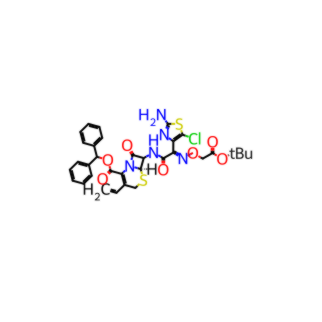 C=CC1=C(C(=O)OC(c2ccccc2)c2ccccc2)N2C(=O)C(NC(=O)/C(=N/OCC(=O)OC(C)(C)C)c3nc(N)sc3Cl)[C@H]2SC1